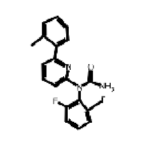 Cc1ccccc1-c1cccc(N(C(N)=O)c2c(F)cccc2F)n1